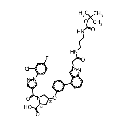 CC(C)(C)OC(=O)NCCCNC(=O)Cn1cc2c(-c3cccc(O[C@H]4C[C@@H](C(=O)O)N(C(=O)c5cnn(-c6ccc(F)cc6Cl)c5)C4)c3)cccc2n1